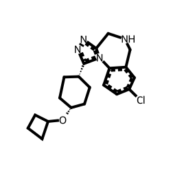 Clc1ccc2c(c1)CNCc1nnc([C@H]3CC[C@@H](OC4CCC4)CC3)n1-2